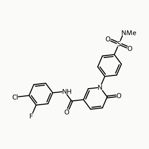 CNS(=O)(=O)c1ccc(-n2cc(C(=O)Nc3ccc(Cl)c(F)c3)ccc2=O)cc1